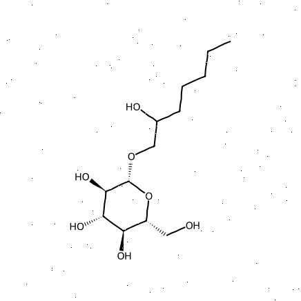 CCCCCC(O)CO[C@@H]1O[C@H](CO)[C@@H](O)[C@H](O)[C@H]1O